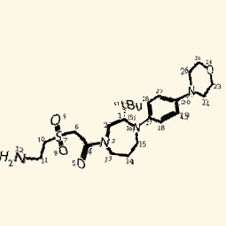 CC(C)(C)[C@H]1CN(C(=O)CS(=O)(=O)CCN)CCCN1c1ccc(N2CCOCC2)cc1